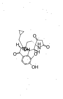 O=C1CC(=O)[C@@]2(CC[C@@]3(O)[C@H]4C(=O)c5ccc(O)c6c5[C@@]3(CCN4CC3CC3)[C@H]2O6)N1